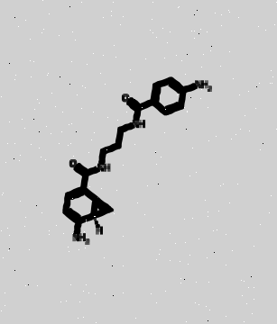 NC1=CC=C(C(=O)NCCCNC(=O)c2ccc(N)cc2)C2=C[C@@H]12